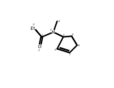 CCC(=O)N(C)C1C=CCC1